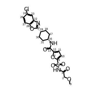 COCC(=O)NS(=O)(=O)c1ccc(C(=O)N[C@H]2CC[C@@H](c3nc4cc(Cl)ccc4o3)CC2)o1